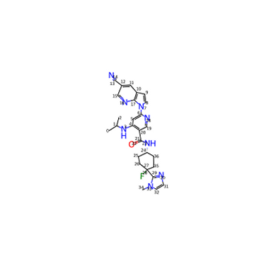 CC(C)Nc1cc(-n2ccc3cc(C#N)cnc32)ncc1C(=O)N[C@H]1CC[C@@](F)(c2nccn2C)CC1